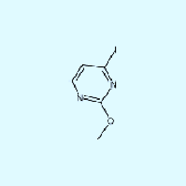 COc1n[c]cc(I)n1